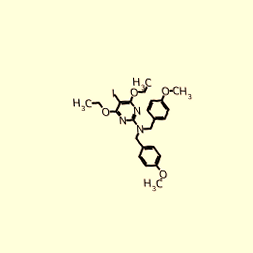 CCOc1nc(N(Cc2ccc(OC)cc2)Cc2ccc(OC)cc2)nc(OCC)c1I